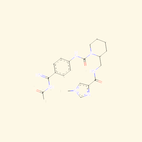 Cn1cnc(C(=O)NCC2CCCCN2C(=O)Nc2ccc(C(=N)NC(=O)C(F)(F)F)cc2)c1